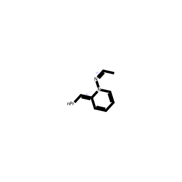 C/C=N\N1C=CC=C/C1=C\CCC